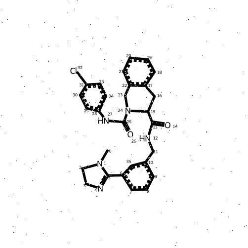 CN1CCN=C1c1cccc(CNC(=O)C2Cc3ccccc3CN2C(=O)Nc2ccc(Cl)cc2)c1